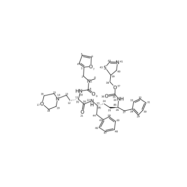 CN(Cc1ccco1)C(=O)N[C@@H](CCN1CCOCC1)C(=O)N[C@H](CC[C@H](Cc1ccccc1)NC(=O)OCC1CN=CS1)Cc1ccccc1